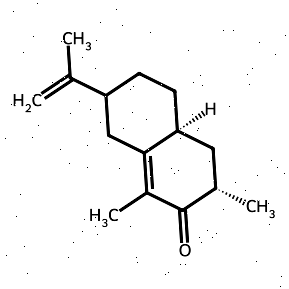 C=C(C)C1CC[C@H]2C[C@H](C)C(=O)C(C)=C2C1